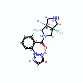 O=C(c1c(F)cccc1-n1nccn1)N1C[C@]2(F)CNC[C@]2(F)C1